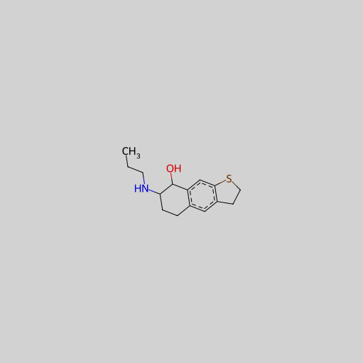 CCCNC1CCc2cc3c(cc2C1O)SCC3